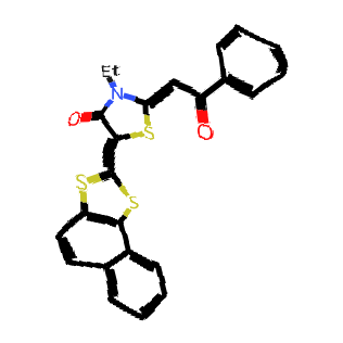 CCn1c(=O)/c(=C2\Sc3ccc4ccccc4c3S2)s/c1=C\C(=O)c1ccccc1